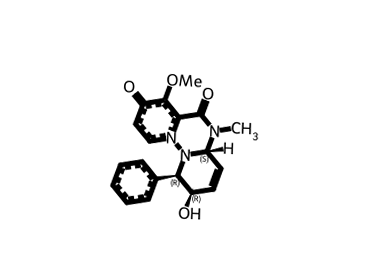 COc1c2n(ccc1=O)N1[C@H](c3ccccc3)[C@H](O)C=C[C@H]1N(C)C2=O